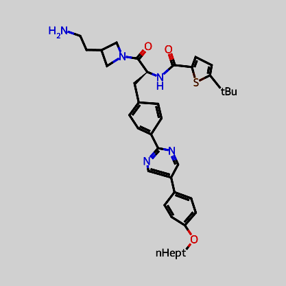 CCCCCCCOc1ccc(-c2cnc(-c3ccc(C[C@H](NC(=O)c4ccc(C(C)(C)C)s4)C(=O)N4CC(CCN)C4)cc3)nc2)cc1